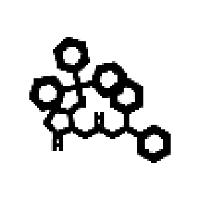 c1ccc(C(CNCC2NCCC2SC(c2ccccc2)(c2ccccc2)c2ccccc2)c2ccccc2)cc1